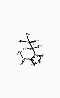 O=[N+]([O-])c1nnnn1C(F)(F)C(F)(F)F